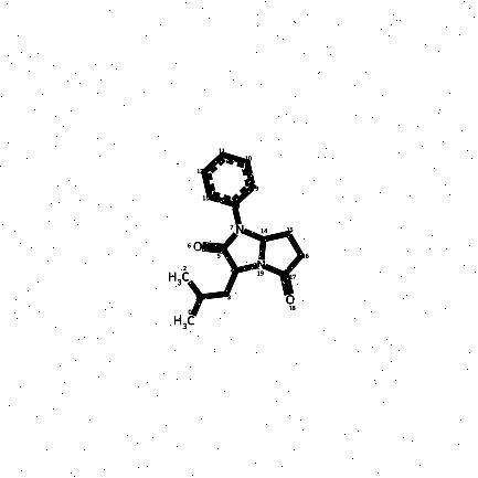 CC(C)CC1C(=O)N(c2ccccc2)C2CCC(=O)N12